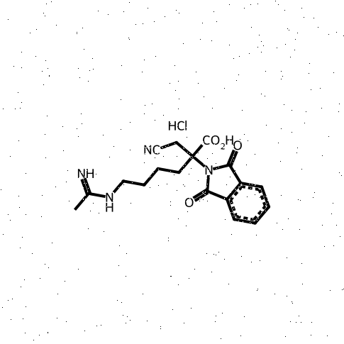 CC(=N)NCCCCC(CC#N)(C(=O)O)N1C(=O)c2ccccc2C1=O.Cl